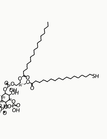 CCCCCCCCCCCCCCCC(=O)O[C@H](COC(=O)CCCCCCCCCCCCCCCS)COP(=O)(O)OC1C(O)[C@H](OP(=O)(O)O)C(OP(=O)(O)O)[C@H](O)[C@@H]1O